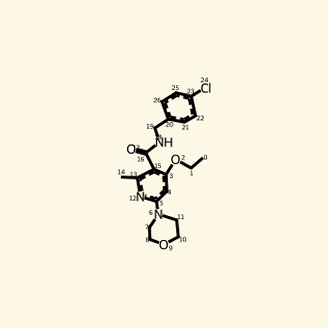 CCOc1cc(N2CCOCC2)nc(C)c1C(=O)NCc1ccc(Cl)cc1